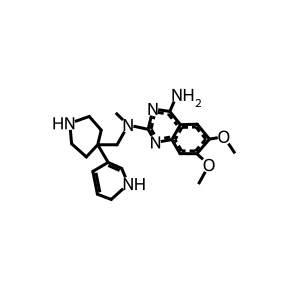 COc1cc2nc(N(C)CC3(C4=CNCC=C4)CCNCC3)nc(N)c2cc1OC